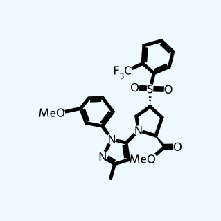 COC(=O)[C@@H]1C[C@@H](S(=O)(=O)c2ccccc2C(F)(F)F)CN1c1cc(C)nn1-c1cccc(OC)c1